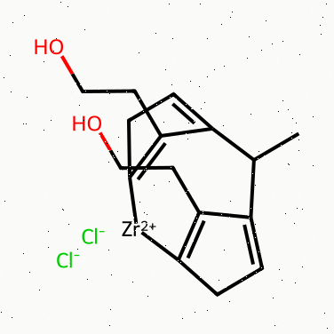 CC1C2=CC[C](=C2CCO)[Zr+2][C]2=C(CCO)C1=CC2.[Cl-].[Cl-]